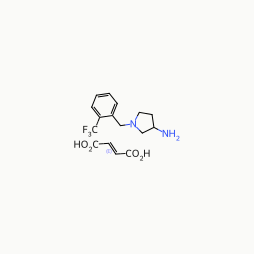 NC1CCN(Cc2ccccc2C(F)(F)F)C1.O=C(O)/C=C/C(=O)O